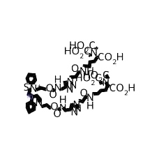 O=C(O)CN(CC(=O)O)C(CCCCNC(=O)CCn1cc(CNC(=O)OCCCN2C=C/C(=C\C3=[N+](CCCOC(=O)NCc4cn(CCC(=O)NCCCCC(C(=O)O)N(CC(=O)O)CC(=O)O)nn4)C4=CC=CCC4S3)c3ccccc32)nn1)C(=O)O